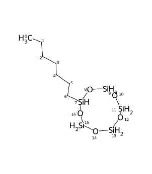 CCCCCCC[SiH]1O[SiH2]O[SiH2]O[SiH2]O[SiH2]O1